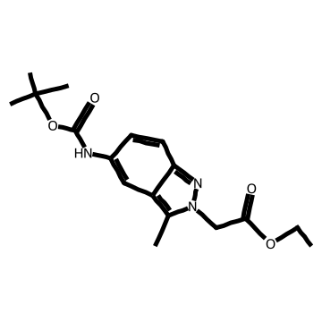 CCOC(=O)Cn1nc2ccc(NC(=O)OC(C)(C)C)cc2c1C